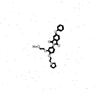 COCCOc1cc(N2C(=O)c3ccc(Oc4ccccc4)cc3C2=O)ccc1OCCN1CCCC1